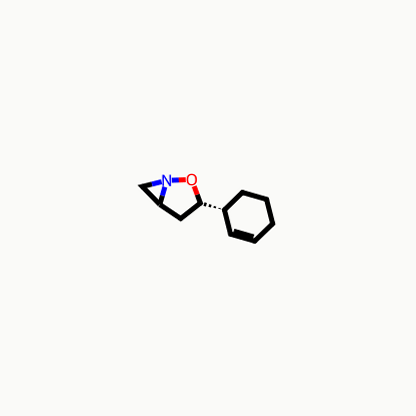 C1=C[C@H](C2CC3CN3O2)CCC1